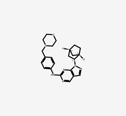 c1cc(Nc2ncc3cnn([C@H]4C[C@@H]5CC[C@H]4C5)c3n2)ccc1CN1CCOCC1